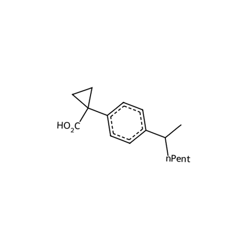 CCCCCC(C)c1ccc(C2(C(=O)O)CC2)cc1